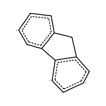 [c]1c[c]c2c(c1)Cc1cc[c]cc1-2